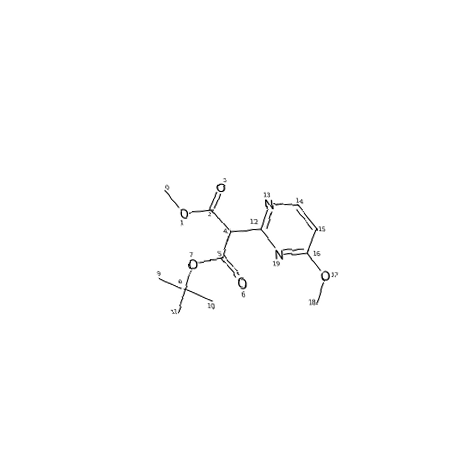 COC(=O)C(C(=O)OC(C)(C)C)c1nccc(OC)n1